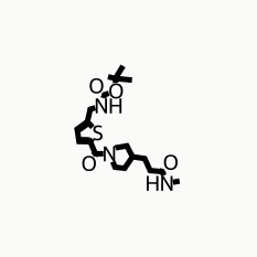 CNC(=O)CCC1CCN(C(=O)c2ccc(CNC(=O)OC(C)(C)C)s2)CC1